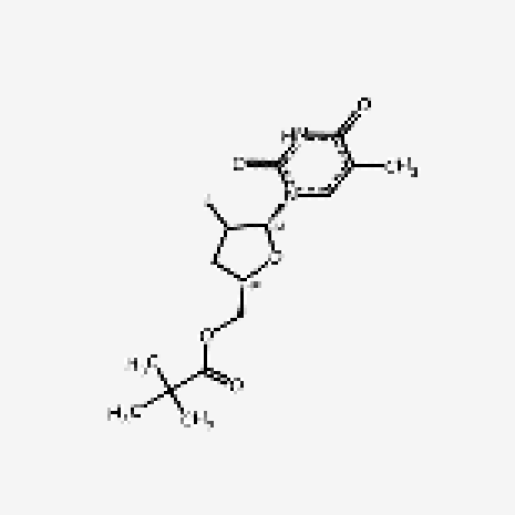 Cc1cn([C@H]2O[C@@H](COC(=O)C(C)(C)C)CC2I)c(=O)[nH]c1=O